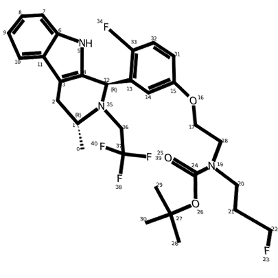 C[C@@H]1Cc2c([nH]c3ccccc23)[C@@H](c2cc(OCCN(CCCF)C(=O)OC(C)(C)C)ccc2F)N1CC(F)(F)F